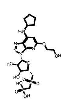 O=P(O)(O)CS(=O)(=O)C[C@H]1O[C@@H](n2nnc3c(NC4CCCC4)cc(OCCO)nc32)[C@H](O)[C@@H]1O